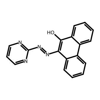 Oc1c(N=Nc2ncccn2)c2ccccc2c2ccccc12